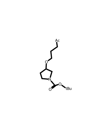 CC(=O)CCCOC1CCN(C(=O)OC(C)(C)C)C1